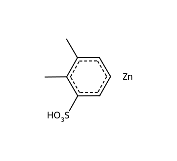 Cc1cccc(S(=O)(=O)O)c1C.[Zn]